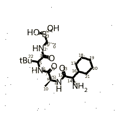 C[C@H](NC(=O)C(NC(=O)[C@H](C)NC(=O)C(N)C1CCCCC1)C(C)(C)C)B(O)O